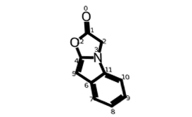 O=C1Cn2c(cc3ccccc32)O1